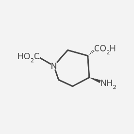 N[C@H]1CCN(C(=O)O)C[C@@H]1C(=O)O